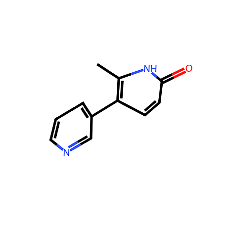 Cc1[nH]c(=O)ccc1-c1cccnc1